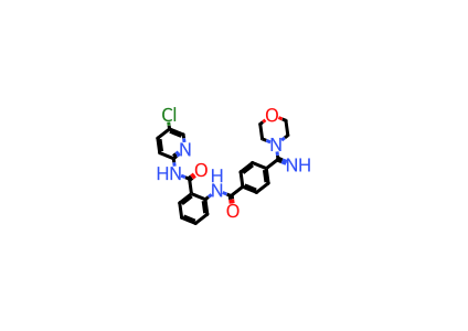 N=C(c1ccc(C(=O)Nc2ccccc2C(=O)Nc2ccc(Cl)cn2)cc1)N1CCOCC1